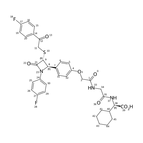 O=C(COc1ccc([C@@H]2[C@@H](SCC(=O)c3ccc(F)cc3)C(=O)N2c2ccc(F)cc2)cc1)NCC(=O)N[C@@H](C(=O)O)C1CCCCC1